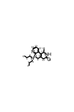 CCCN(CCC)N1CC2=C(c3cccnc31)C(C)NC(=O)C2